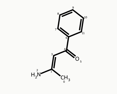 C/C(N)=C\C(=O)c1ccccc1